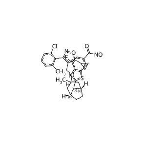 Cc1cccc(Cl)c1-c1noc(C2CC2)c1COC1(C)C[C@H]2CC[C@@H](C1)[C@@H]2c1nc2c(F)cc(C(=O)N=O)cc2s1